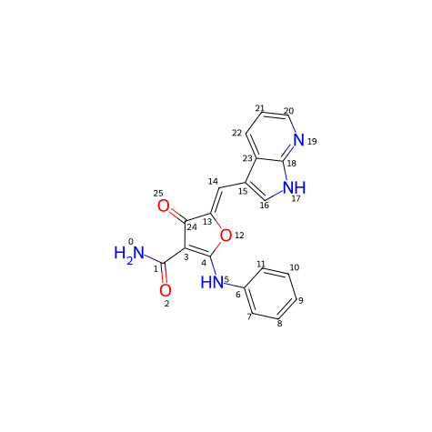 NC(=O)C1=C(Nc2ccccc2)OC(=Cc2c[nH]c3ncccc23)C1=O